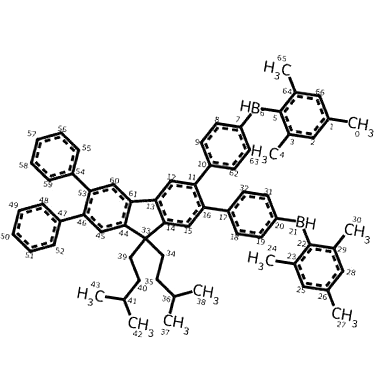 Cc1cc(C)c(Bc2ccc(-c3cc4c(cc3-c3ccc(Bc5c(C)cc(C)cc5C)cc3)C(CCC(C)C)(CCC(C)C)c3cc(-c5ccccc5)c(-c5ccccc5)cc3-4)cc2)c(C)c1